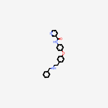 O=C(Nc1ccc(Oc2ccc(CCNCc3ccccc3)cc2)cc1)c1cccnc1